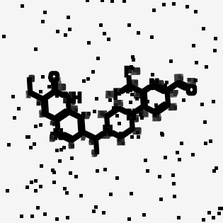 CCc1cc2ncc(C(C)N3CCN(c4ccc(C=O)nc4C(F)F)CC3)cc2[nH]c1=O